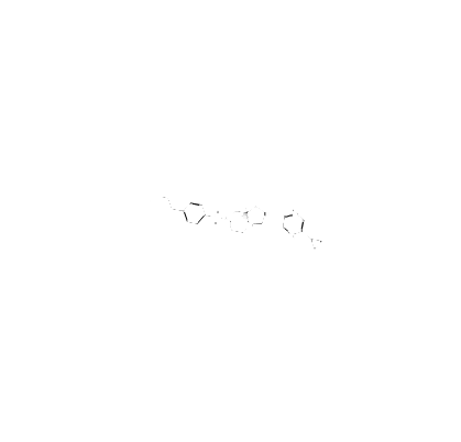 CCCc1ccc(S(=O)(=O)N2CCN3C[C@@H](Oc4cnc(C5CC5)cn4)C[C@H]3C2)cc1